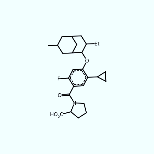 CCC1CC2CC(C)CC(C2)C1Oc1cc(F)c(C(=O)N2CCCC2C(=O)O)cc1C1CC1